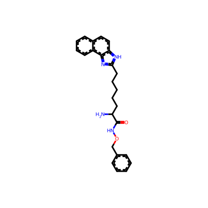 NC(CCCCCc1nc2c(ccc3ccccc32)[nH]1)C(=O)NOCc1ccccc1